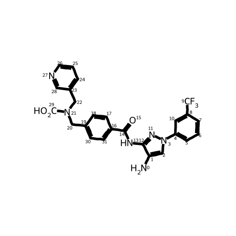 Nc1cn(-c2cccc(C(F)(F)F)c2)nc1NC(=O)c1ccc(CN(Cc2cccnc2)C(=O)O)cc1